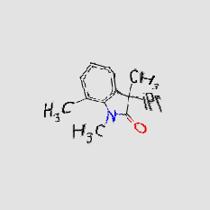 Cc1cccc2c1N(C)C(=O)C2(C)C(C)C